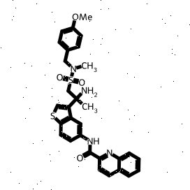 COc1ccc(CN(C)S(=O)(=O)CC(C)(N)c2csc3ccc(NC(=O)c4ccc5ccccc5n4)cc23)cc1